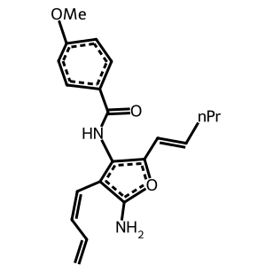 C=C/C=C\c1c(N)oc(/C=C/CCC)c1NC(=O)c1ccc(OC)cc1